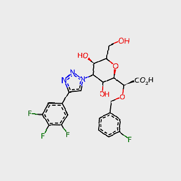 O=C(O)[C@@H](OCc1cccc(F)c1)[C@@H]1OC(CO)[C@H](O)C(n2cc(-c3cc(F)c(F)c(F)c3)nn2)C1O